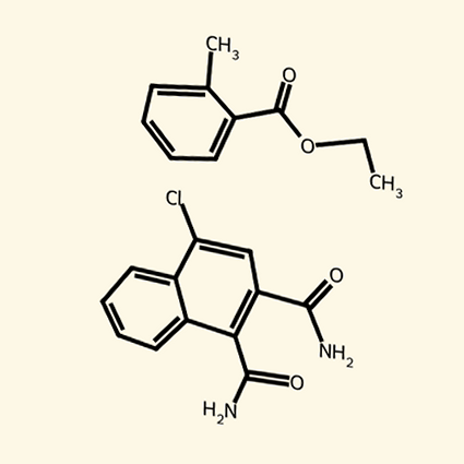 CCOC(=O)c1ccccc1C.NC(=O)c1cc(Cl)c2ccccc2c1C(N)=O